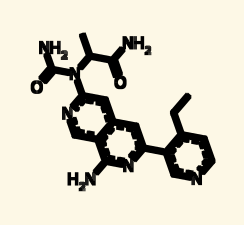 CCc1ccncc1-c1cc2cc(N(C(N)=O)C(C)C(N)=O)ncc2c(N)n1